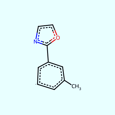 Cc1c[c]cc(-c2ncco2)c1